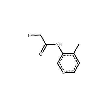 Cc1ccncc1NC(=O)CF